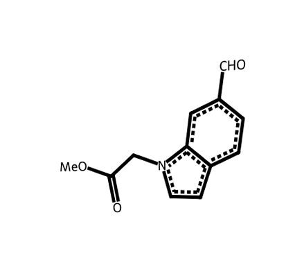 COC(=O)Cn1ccc2ccc(C=O)cc21